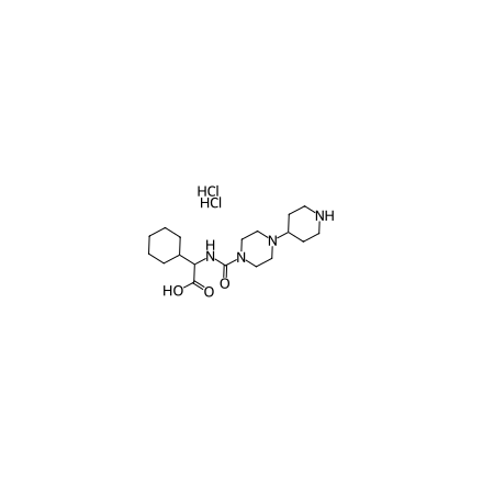 Cl.Cl.O=C(O)C(NC(=O)N1CCN(C2CCNCC2)CC1)C1CCCCC1